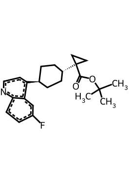 CC(C)(C)OC(=O)C1([C@H]2CC[C@H](c3ccnc4ccc(F)cc43)CC2)CC1